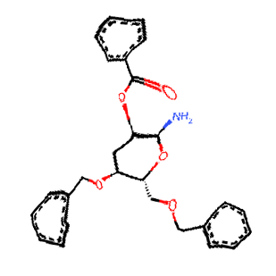 N[C@H]1O[C@H](COCc2ccccc2)[C@@H](OCc2ccccc2)C[C@H]1OC(=O)c1ccccc1